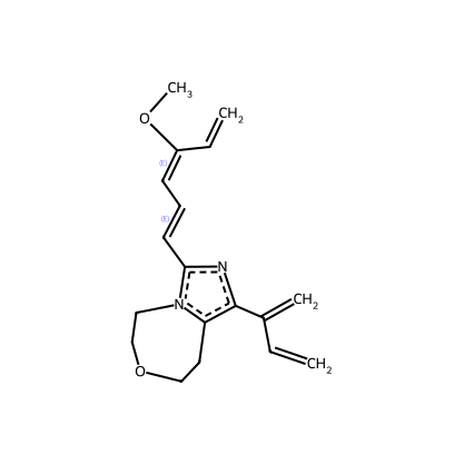 C=CC(=C)c1nc(/C=C/C=C(\C=C)OC)n2c1CCOCC2